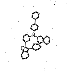 c1ccc(-c2ccc(N(c3cccc(-c4oc5ccccc5c4-c4ccccc4)c3)c3ccc4ccccc4c3)cc2)cc1